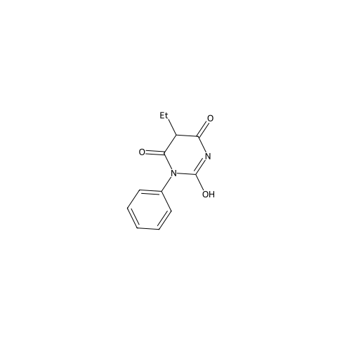 CCC1C(=O)N=C(O)N(c2ccccc2)C1=O